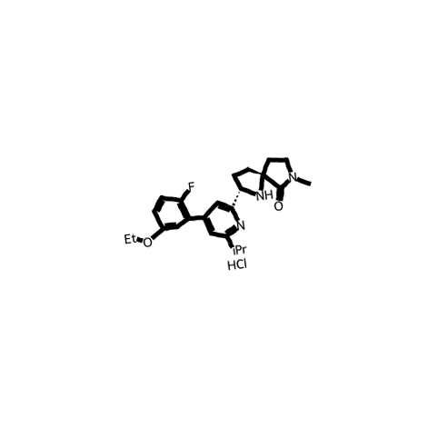 CCOc1ccc(F)c(-c2cc(C(C)C)nc([C@@H]3CC[C@]4(CCN(C)C4=O)N3)c2)c1.Cl